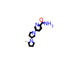 C[C@H]1CCCN1[C@H]1CCN(c2ccc(C(N)=O)nc2)C1